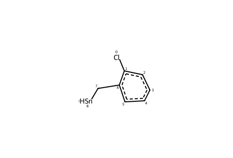 Clc1ccccc1[CH2][SnH]